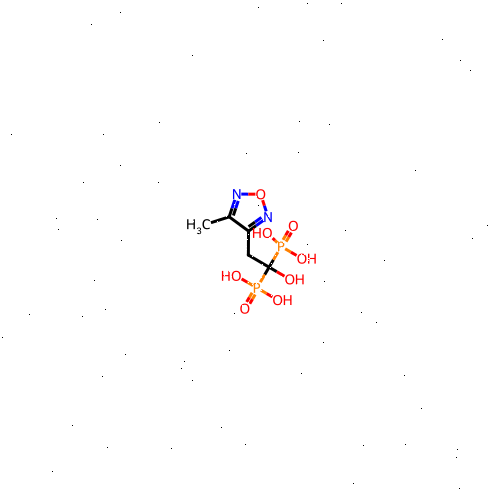 Cc1nonc1CC(O)(P(=O)(O)O)P(=O)(O)O